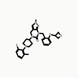 Cc1cccc(F)c1N1CCC(N2Cc3cn(C)nc3N(Cc3ccccc3OC3COC3)C2=O)CC1